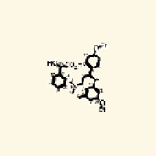 CCOc1ccc(C(CCN(C)C)Cc2cc(C)cc(OCC)c2)cc1.O=C(O)C(O)c1ccccc1